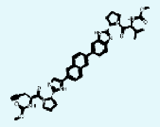 C#CC[C@H](NC(=O)OC)C(=O)N1CCC[C@H]1c1ncc(-c2ccc3cc(-c4ccc5nc([C@@H]6CCCN6C(=O)[C@@H](NC(=O)OC)C(C)C)[nH]c5c4)ccc3c2)[nH]1